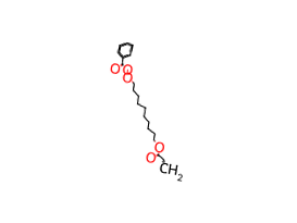 C=CC(=O)OCCCCCCCCCCOOC(=O)c1ccccc1